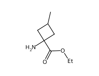 CCOC(=O)C1(N)CC(C)C1